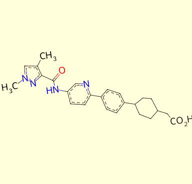 Cc1cn(C)nc1C(=O)Nc1ccc(-c2ccc(C3CCC(CC(=O)O)CC3)cc2)nc1